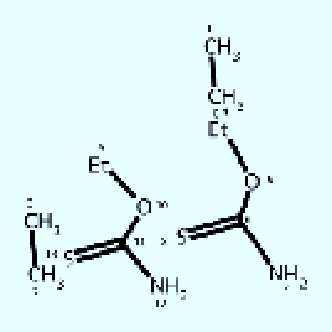 CC.CC.CCOC(N)=S.CCOC(N)=S